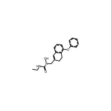 CCNC(=O)N(O)CC1=Cc2cccc(Oc3ccccc3)c2CC1